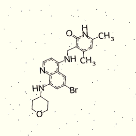 Cc1cc(C)c(CNc2ccnc3c(NC4CCOCC4)cc(Br)cc23)c(=O)[nH]1